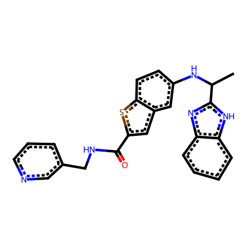 CC(Nc1ccc2sc(C(=O)NCc3cccnc3)cc2c1)c1nc2ccccc2[nH]1